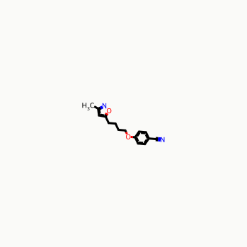 Cc1cc(CCCCOc2ccc(C#N)cc2)on1